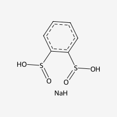 O=S(O)c1ccccc1S(=O)O.[NaH]